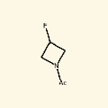 CC(=O)N1C[C](F)C1